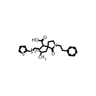 CC(C)CC1(C(CCSc2cccs2)C(=O)O)CCN(CCc2ccccc2)C1=O